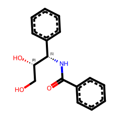 O=C(N[C@@H](c1ccccc1)[C@@H](O)CO)c1ccccc1